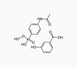 CC(=O)Nc1ccc([As](=O)(O)OO)cc1.O=C(O)c1cccc(O)c1